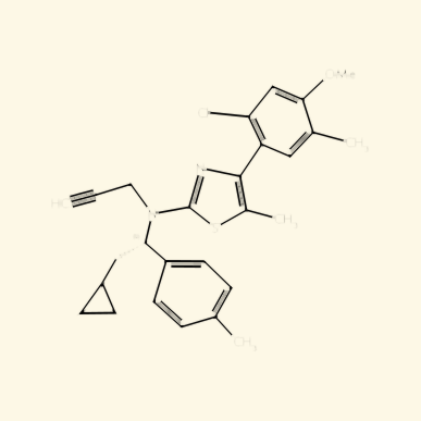 C#CCN(c1nc(-c2cc(C)c(OC)cc2Cl)c(C)s1)[C@@H](CC1CC1)c1ccc(C)cc1